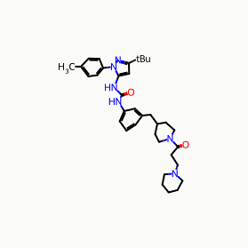 Cc1ccc(-n2nc(C(C)(C)C)cc2NC(=O)Nc2cccc(CC3CCN(C(=O)CCN4CCCCC4)CC3)c2)cc1